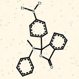 CCN(CC)c1ccc(C2(N(C)c3ccccc3)OC(=O)c3ccccc32)cc1